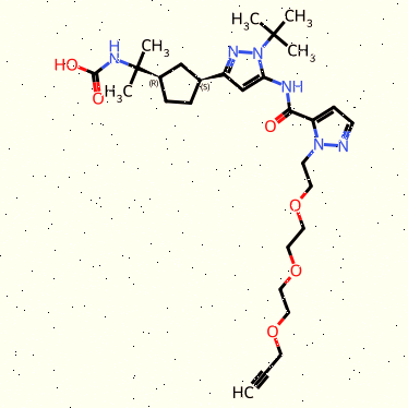 C#CCOCCOCCOCCn1nccc1C(=O)Nc1cc([C@H]2CC[C@@H](C(C)(C)NC(=O)O)C2)nn1C(C)(C)C